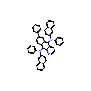 c1ccc(-c2ccc3c(N(c4ccccc4)c4ccc5ccccc5c4)c4ncccc4c(N(c4ccccc4)c4ccc5ccccc5c4)c3c2)cc1